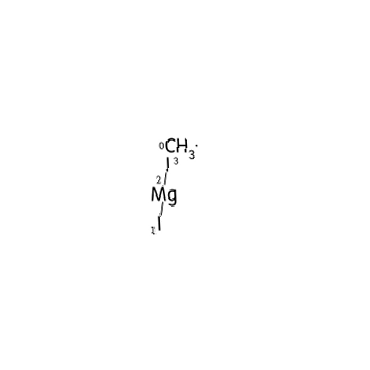 [CH3].[I][Mg][I]